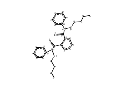 CCCCSN(C(=O)c1ccccc1C(=O)N(SCCCC)c1ccccc1)c1ccccc1